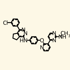 CNc1nccc(-c2cccnc2Oc2ccc(Nc3nnc(-c4cccc(Cl)c4)c4c3CCC4)cc2)n1